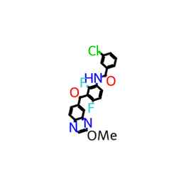 COc1cnc2ccc(C(=O)c3c(F)ccc(NC(=O)c4cccc(Cl)c4)c3F)cc2n1